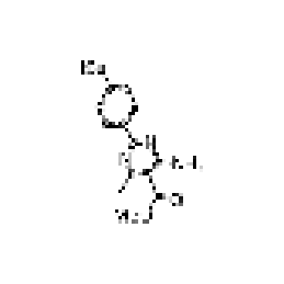 COC(=O)c1c(C)nc(-c2ccc(C(C)(C)C)cc2)nc1N